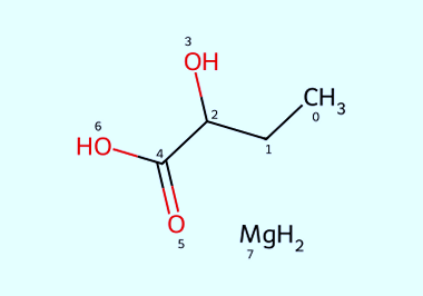 CCC(O)C(=O)O.[MgH2]